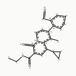 CCOC(=O)c1cc(C2CC2)c2c(C)c(-c3ccccc3C=O)ccn2c1=O